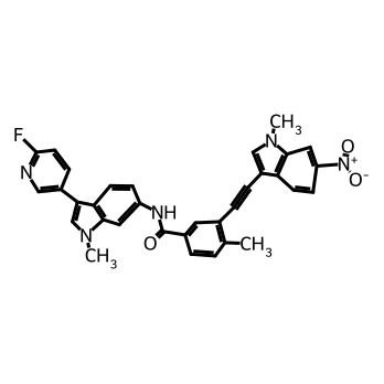 Cc1ccc(C(=O)Nc2ccc3c(-c4ccc(F)nc4)cn(C)c3c2)cc1C#Cc1cn(C)c2cc([N+](=O)[O-])ccc12